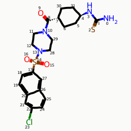 NC(=S)N[C@H]1CC[C@H](C(=O)N2CCN(S(=O)(=O)c3ccc4cc(Cl)ccc4c3)CC2)CC1